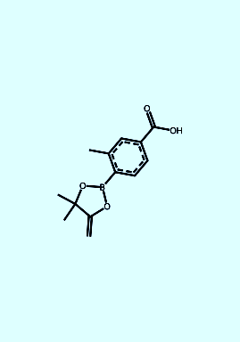 C=C1OB(c2ccc(C(=O)O)cc2C)OC1(C)C